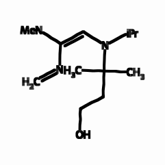 C=N/C(=C\N(C(C)C)C(C)(C)CCO)NC